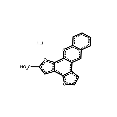 Cl.O=C(O)c1cc2c3occc3c3cc4ccccc4nc3c2o1